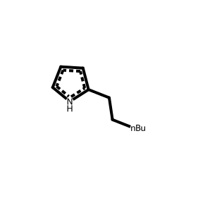 CCCCCCc1ccc[nH]1